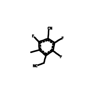 Cc1c(F)c(C#N)c(F)c(F)c1CC#N